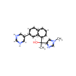 Cn1cnc(C(C)(O)c2cccc3ccc(-c4cncnc4)cc23)c1